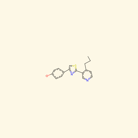 CCCc1ccncc1-c1nc(-c2ccc([O])cc2)cs1